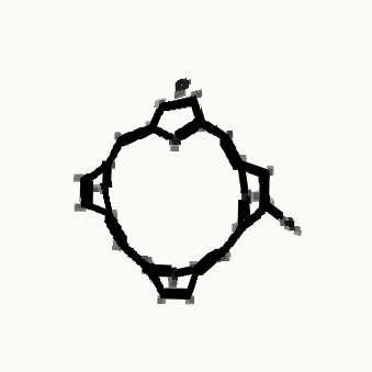 [2H]C1=CC2=CC3=NC(=CC4=NC(=CC5=NC(=CC1=N2)C=C5)C=C4)C=C3.[Cr]